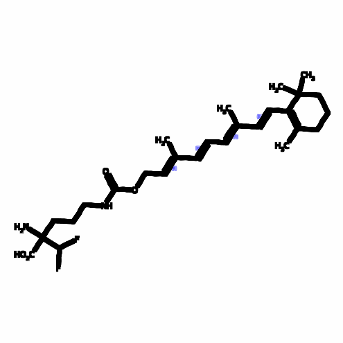 CC1=C(/C=C/C(C)=C/C=C/C(C)=C/COC(=O)NCCCC(N)(C(=O)O)C(F)F)C(C)(C)CCC1